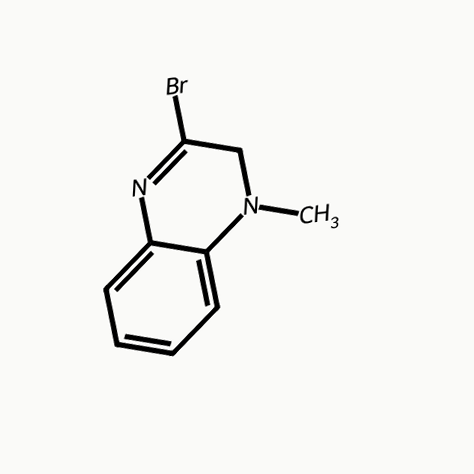 CN1CC(Br)=Nc2ccccc21